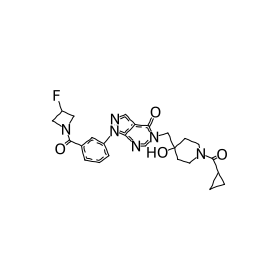 O=C(c1cccc(-n2ncc3c(=O)n(CC4(O)CCN(C(=O)C5CC5)CC4)cnc32)c1)N1CC(F)C1